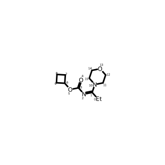 CC/C(=N/C(=O)OC1CCC1)N1CCOCC1